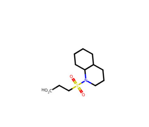 O=C(O)CCS(=O)(=O)N1CCCC2CCCCC21